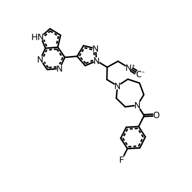 [C-]#[N+]CC(CN1CCCN(C(=O)c2ccc(F)cc2)CC1)n1cc(-c2ncnc3[nH]ccc23)cn1